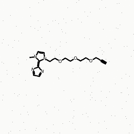 C#CCOCCOCCOCCN1C=CN(C)C1=C1N=CC=N1